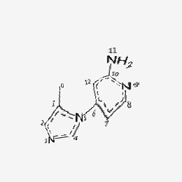 Cc1cncn1-c1ccnc(N)c1